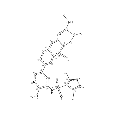 CNC(=O)C(C)Cn1cnc2ccc(-c3cnc(OC)c(NS(=O)(=O)c4c(C)noc4C)c3)cc2c1=O